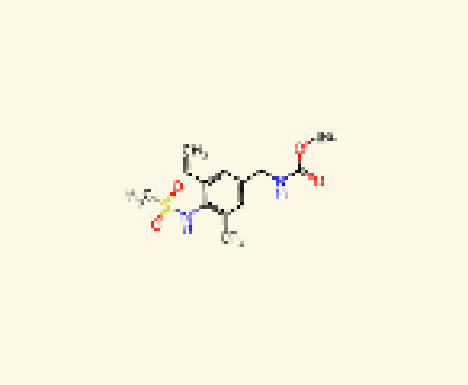 C=Cc1cc(CNC(=O)OC(C)(C)C)cc(C(F)(F)F)c1NS(C)(=O)=O